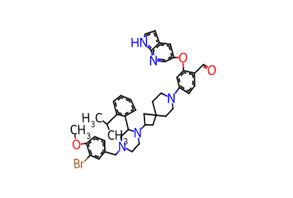 COc1ccc(CN2CCN(C3CC4(CCN(c5ccc(C=O)c(Oc6cnc7[nH]ccc7c6)c5)CC4)C3)C(c3ccccc3C(C)C)C2)cc1Br